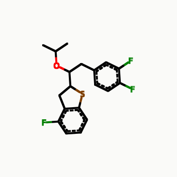 CC(C)OC(Cc1ccc(F)c(F)c1)C1Cc2c(F)cccc2S1